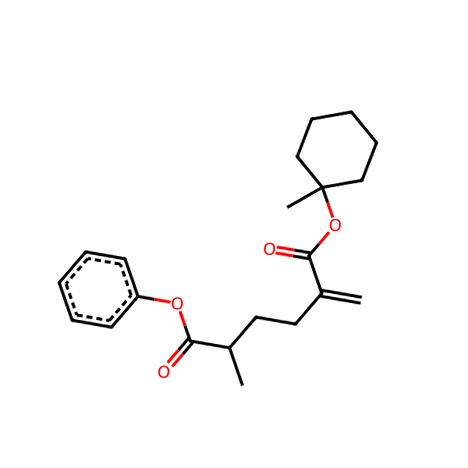 C=C(CCC(C)C(=O)Oc1ccccc1)C(=O)OC1(C)CCCCC1